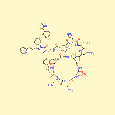 CNC(=O)c1ccccc1Sc1ccc2c(/C=C/c3ccccn3)nn(C(=O)N(C)CCNC(=O)[C@@H](N)CCC(=O)N[C@@H](CCN)C(=O)N[C@H](C(=O)N[C@@H](CCN)C(=O)N[C@H]3CCNC(=O)[C@H]([C@@H](C)O)NC(=O)[C@H](CCN)NC(=O)[C@H](CCN)NC(=O)[C@H](CC(C)C)NC(=O)[C@@H](Cc4ccccc4)NC(=O)[C@H](CCN)NC3=O)[C@@H](C)O)c2c1